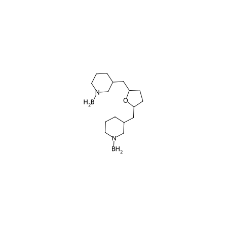 BN1CCCC(CC2CCC(CC3CCCN(B)C3)O2)C1